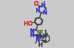 CN(c1nnc(-c2ccc(-c3ncn(C)c(=O)n3)cc2O)s1)[C@@H]1C2CC[C@@](C)(NC2)[C@H]1F